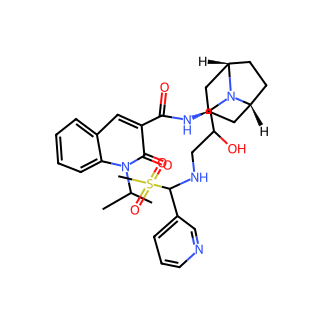 CC(C)n1c(=O)c(C(=O)N[C@@H]2C[C@H]3CC[C@@H](C2)N3CC(O)CNC(c2cccnc2)S(C)(=O)=O)cc2ccccc21